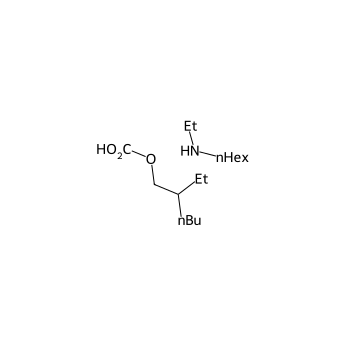 CCCCC(CC)COC(=O)O.CCCCCCNCC